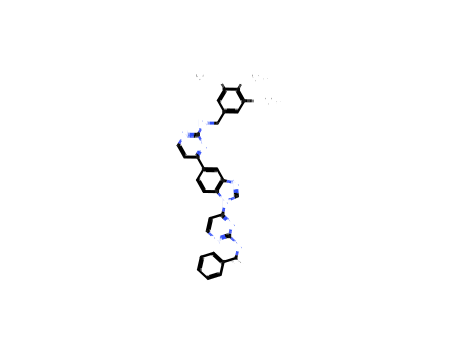 COc1cc(CNc2nccc(-c3ccc4c(c3)ncn4-c3ccnc(N[C@@H](C)c4ccccc4)n3)n2)cc(OC)c1OC